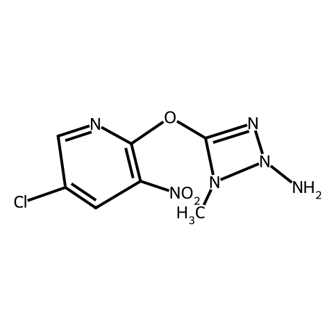 Cn1c(Oc2ncc(Cl)cc2[N+](=O)[O-])nn1N